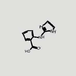 O=C(O)c1ccccc1Nc1ncc[nH]1